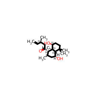 C=C[C@@H](C)CC(=O)[C@H]1[C@@H](C)C[C@@H](O)[C@H]2C(C)(C)CC[C@H](O)[C@]12C